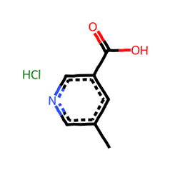 Cc1cncc(C(=O)O)c1.Cl